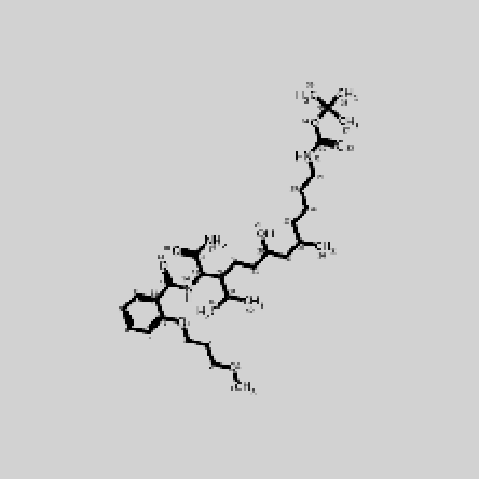 COCCCOc1ccccc1C(=O)NC(C(N)=O)C(CCC(O)CC(C)CCCCNC(=O)OC(C)(C)C)C(C)C